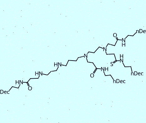 CCCCCCCCCCCCNC(=O)CCNCCCNCCCCN(CCCN(CCC(=O)NCCCCCCCCCCCC)CCC(=S)NCCCCCCCCCCCC)CCC(=O)NCCCCCCCCCCCC